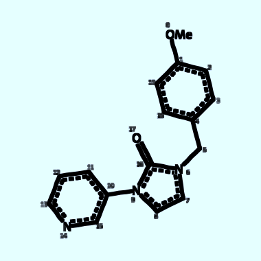 COc1ccc(Cn2ccn(-c3cccnc3)c2=O)cc1